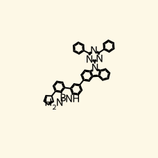 NB1Nc2ccc(-c3ccc4c(c3)c3ccccc3n4-c3nc(-c4ccccc4)nc(-c4ccccc4)n3)cc2-c2cccc(C3C=CC=C3)c21